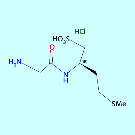 CSCC[C@H](CS(=O)(=O)O)NC(=O)CN.Cl